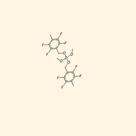 C[O][Zr]([O]C)([O]Cc1c(F)c(F)c(C)c(F)c1F)[O]Cc1c(F)c(F)c(C)c(F)c1F